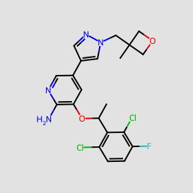 CC(Oc1cc(-c2cnn(CC3(C)COC3)c2)cnc1N)c1c(Cl)ccc(F)c1Cl